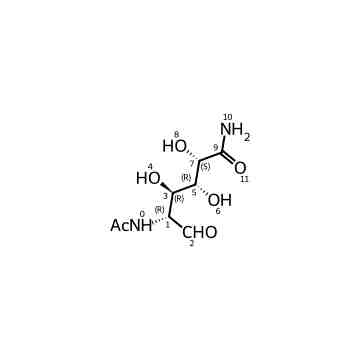 CC(=O)N[C@@H](C=O)[C@@H](O)[C@@H](O)[C@H](O)C(N)=O